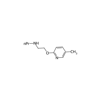 CCCNCCOc1ccc(C)cn1